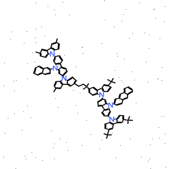 Cc1ccc2c(c1)c1cc(C)ccc1n2-c1ccc2c3ccc(-n4c5ccc(C)cc5c5cc(CCC(C)(C)c6ccc7c(c6)c6cc(C(C)(C)C)ccc6n7-c6ccc7c8ccc(-n9c%10ccc(C(C)(C)C)cc%10c%10cc(C(C)(C)C)ccc%109)cc8n(-c8ccc9cc%10ccccc%10cc9c8)c7c6)ccc54)cc3n(-c3ccc4ccccc4c3)c2c1